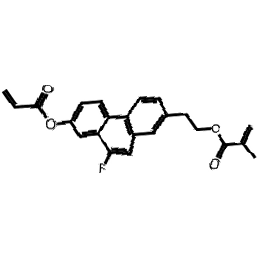 C=CC(=O)Oc1ccc2c(c1)c(F)cc1cc(CCOC(=O)C(=C)C)ccc12